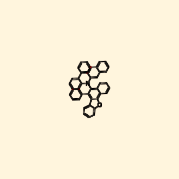 c1ccc(-c2ccccc2N(c2ccc3ccccc3c2)c2c(-c3ccccc3)c3c4ccccc4oc3c3ccccc23)cc1